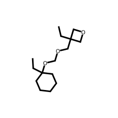 CCC1(COCOC2(CC)CCCCC2)COC1